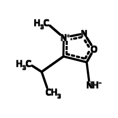 CC(C)c1c([NH-])on[n+]1C